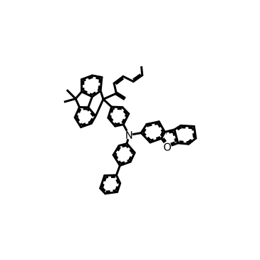 C=C(/C=C\C=C/C)C1(c2ccc(N(c3ccc(-c4ccccc4)cc3)c3ccc4c(c3)oc3ccccc34)cc2)c2cccc3c2-c2c(cccc21)C3(C)C